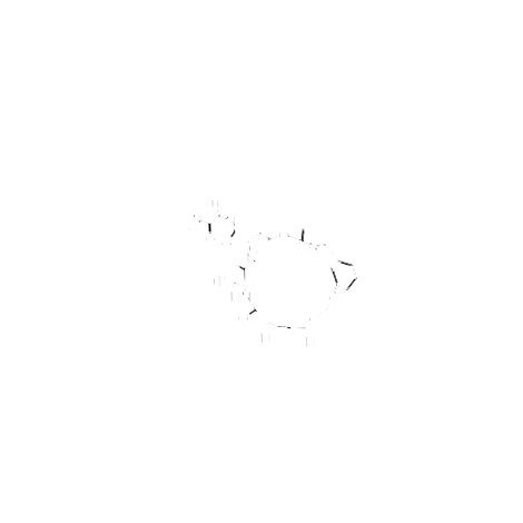 CCCC(NC(=O)[C@@H]1C[C@@H]2CN1C(=O)[C@H](C(C)(C)C)NC(=O)OCC(C)(C)CCCCc1cccc3c1CN(C3)C(=O)O2)C(N)=O